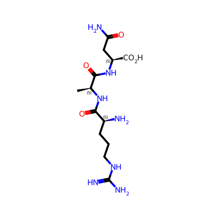 C[C@H](NC(=O)[C@@H](N)CCCNC(=N)N)C(=O)N[C@@H](CC(N)=O)C(=O)O